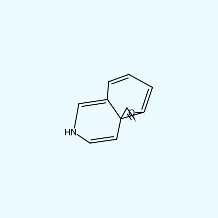 C1=CC2=CNC=CC23C=COC3=C1